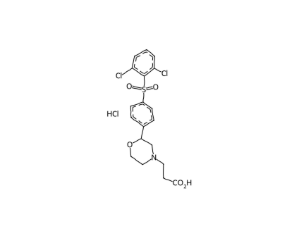 Cl.O=C(O)CCN1CCOC(c2ccc(S(=O)(=O)c3c(Cl)cccc3Cl)cc2)C1